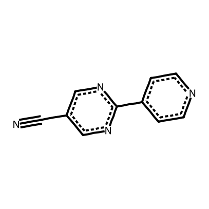 N#Cc1cnc(-c2ccncc2)nc1